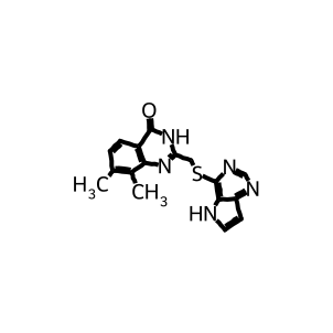 Cc1ccc2c(=O)[nH]c(CSc3ncnc4cc[nH]c34)nc2c1C